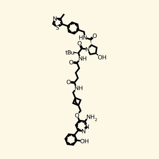 Cc1ncsc1-c1ccc(CNC(=O)[C@@H]2C[C@@H](O)CN2C(=O)[C@@H](NC(=O)CCCC(=O)NCC23CC(COc4cc(-c5ccccc5O)nnc4N)(C2)C3)C(C)(C)C)cc1